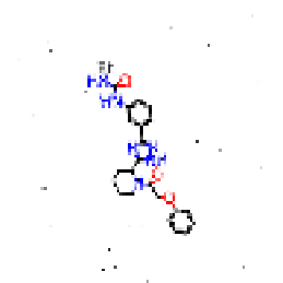 CCNC(=O)Nc1cccc(-c2n[nH]c(C3CCCCN3C(=O)COc3ccccc3)n2)c1